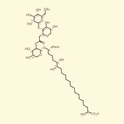 CCCCC[C@H](CCC[C@H](O)[C@H](O)CCCCCCCCCCCCC[C@H](O)C(=O)O)O[C@@H]1OC[C@@H](O)[C@H](O)[C@H]1OC(=O)C[C@@H]1OC[C@@H](O)[C@H](O)[C@H]1O[C@@H]1O[C@H](COC(C)=O)[C@@H](O)[C@H](O)[C@H]1O